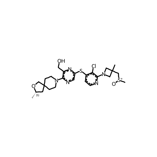 C[C@H]1CC2(CCN(c3ncc(Sc4ccnc(N5CC(C)(C[S+](C)[O-])C5)c4Cl)nc3CO)CC2)CO1